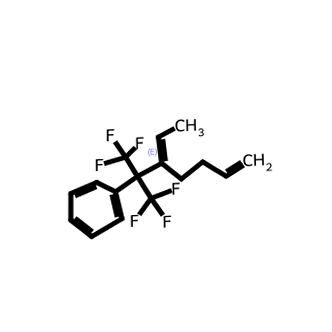 C=CCC/C(=C\C)C(c1ccccc1)(C(F)(F)F)C(F)(F)F